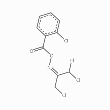 O=C(ON=C(CCl)C(Cl)Cl)c1ccccc1Cl